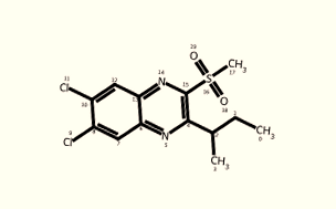 CCC(C)c1nc2cc(Cl)c(Cl)cc2nc1S(C)(=O)=O